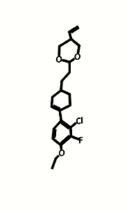 C=CC1COC(CCC2CC=C(c3ccc(OCC)c(F)c3Cl)CC2)OC1